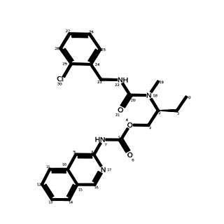 CC[C@@H](COC(=O)Nc1cc2ccccc2cn1)N(C)C(=O)NCc1ccccc1Cl